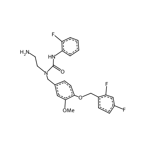 COc1cc(CN(CCN)C(=O)Nc2ccccc2F)ccc1OCc1ccc(F)cc1F